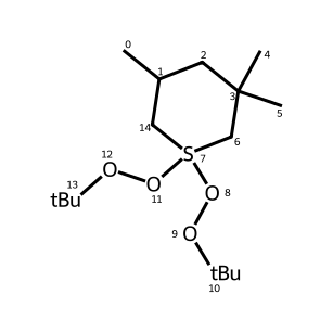 CC1CC(C)(C)CS(OOC(C)(C)C)(OOC(C)(C)C)C1